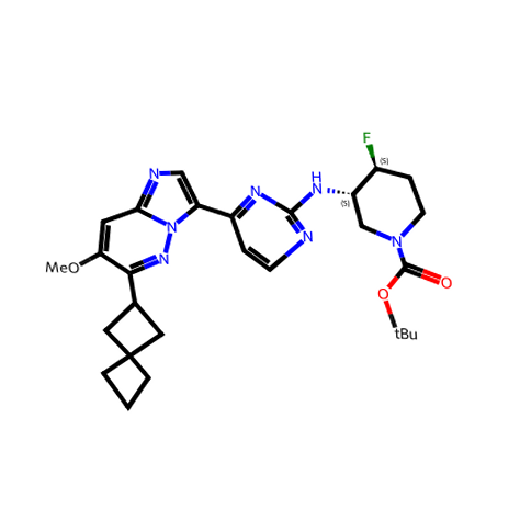 COc1cc2ncc(-c3ccnc(N[C@H]4CN(C(=O)OC(C)(C)C)CC[C@@H]4F)n3)n2nc1C1CC2(CCC2)C1